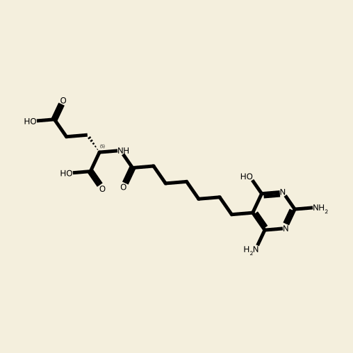 Nc1nc(N)c(CCCCCCC(=O)N[C@@H](CCC(=O)O)C(=O)O)c(O)n1